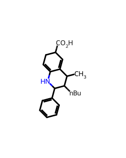 CCCCC1C(C)C2=CC(C(=O)O)CC=C2NC1c1ccccc1